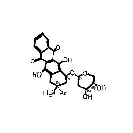 CC(=O)[C@]1(N)Cc2c(O)c3c(c(O)c2[C@@H](O[C@@H]2C[C@H](O)[C@H](O)CO2)C1)C(=O)c1ccccc1C3=O